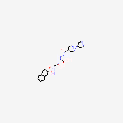 O=C(CNS(=O)(=O)c1ccc2ccccc2c1)NC(CNC(=O)C1CCN(c2ccncc2)CC1)C(=O)O